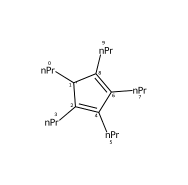 CCC[C]1C(CCC)=C(CCC)C(CCC)=C1CCC